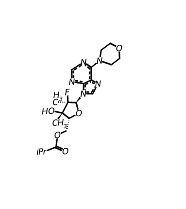 CC(C)C(=O)OC[C@H]1O[C@H](n2cnc3c(N4CCOCC4)ncnc32)[C@](C)(F)[C@@]1(C)O